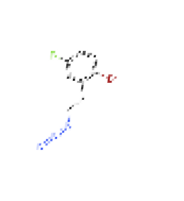 [N-]=[N+]=NCCc1cc(F)ccc1Br